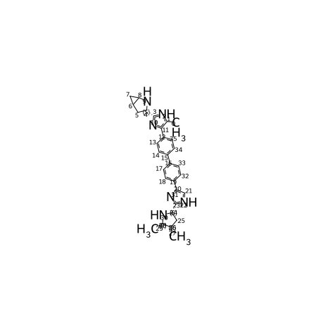 Cc1[nH]c([C@@H]2CC3CC3N2)nc1-c1ccc(-c2ccc(-c3c[nH]c([C@@H]4C[C@@H](C)[C@@H](C)N4)n3)cc2)cc1